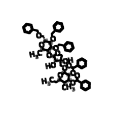 CC[C@H]1O[C@@H](OC[C@@]2(O)CO[C@@H](O[C@@H]3[C@@H](OCc4ccccc4)[C@H](OCc4ccccc4)[C@@H](COCc4ccccc4)O[C@H]3C)[C@@H]2O)[C@H](OC(=O)c2ccccc2)[C@@H](OC(=O)c2ccccc2)[C@@H]1C